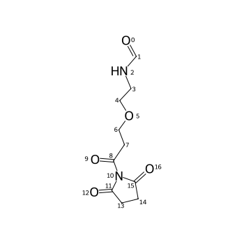 O=CNCCOCCC(=O)N1C(=O)CCC1=O